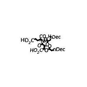 CCCCCCCCCCCC(=O)O[C@@H](C(=O)O)[C@@H](OC(=O)CCCCCCCCCCC)C(=O)N[C@@H](CCC(=O)O)C(=O)O